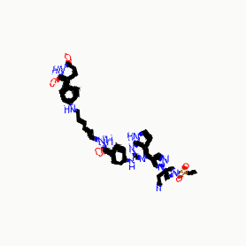 CCS(=O)(=O)N1CC(CC#N)(n2cc(-c3nc(Nc4ccc(C(=O)NCCCCCCNc5ccc(C6CCC(=O)NC6=O)cc5)cc4)nc4[nH]ccc34)cn2)C1